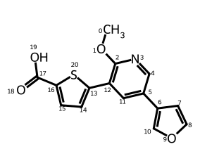 COc1ncc(-c2ccoc2)cc1-c1ccc(C(=O)O)s1